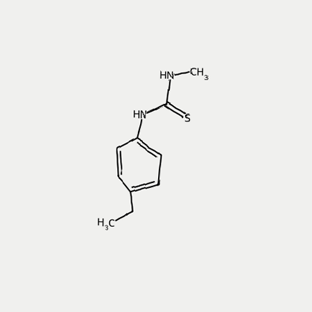 CCc1ccc(NC(=S)NC)cc1